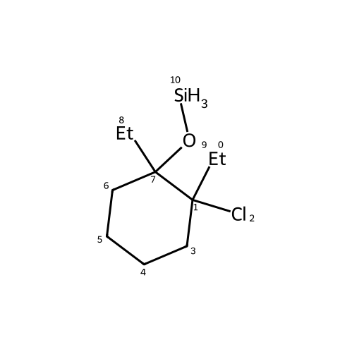 CCC1(Cl)CCCCC1(CC)O[SiH3]